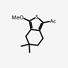 COc1sc(C(C)=O)c2c1CC(C)(C)CC2